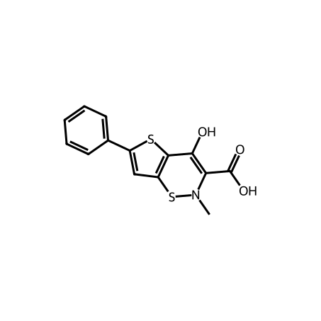 CN1Sc2cc(-c3ccccc3)sc2C(O)=C1C(=O)O